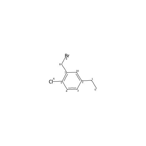 CCc1ccc(Cl)c(CBr)c1